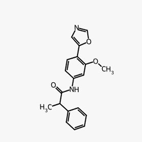 COc1cc(NC(=O)C(C)c2ccccc2)ccc1-c1cnco1